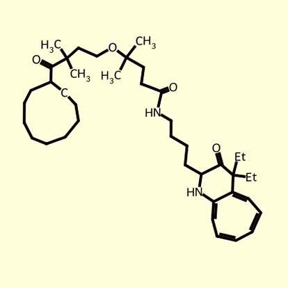 CCC1(CC)C(=O)C(CCCCNC(=O)CCC(C)(C)OCCC(C)(C)C(=O)C2CCCCCCCCC2)NC2=C/C=C\C=C/C=C\21